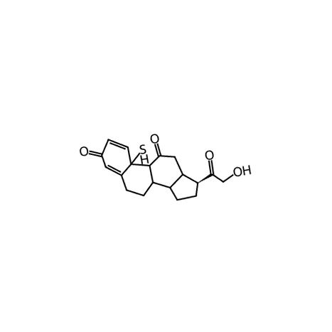 O=C1C=CC2(S)C(=C1)CCC1C3CC[C@H](C(=O)CO)C3CC(=O)C12